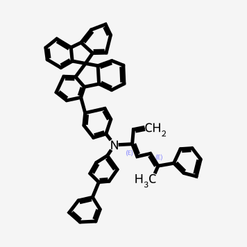 C=C/C(=C\C=C(/C)c1ccccc1)N(c1ccc(-c2ccccc2)cc1)c1ccc(-c2cccc3c2-c2ccccc2C32c3ccccc3-c3ccccc32)cc1